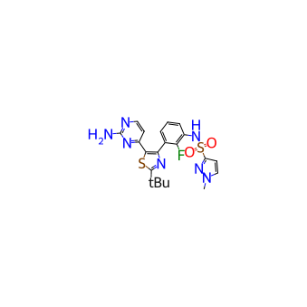 Cn1ccc(S(=O)(=O)Nc2cccc(-c3nc(C(C)(C)C)sc3-c3ccnc(N)n3)c2F)n1